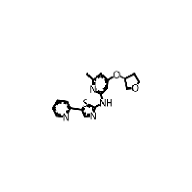 Cc1cc(O[C@H]2CCOC2)cc(Nc2ncc(-c3ccccn3)s2)n1